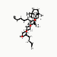 CCCCCC(CCCCC)CN1[C@@H]2CC[C@H]1CN(C(=O)CCCC(C)CCCC)C2